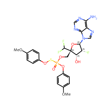 COc1ccc(OSP(=O)(OC[C@@]2(C(F)F)O[C@@H](n3cnc4c(N)ncnc43)[C@H](F)[C@@H]2O)Oc2ccc(OC)cc2)cc1